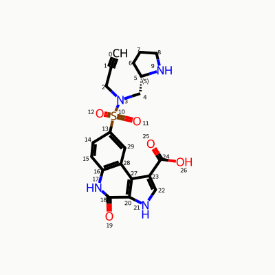 C#CCN(C[C@@H]1CCCN1)S(=O)(=O)c1ccc2[nH]c(=O)c3[nH]cc(C(=O)O)c3c2c1